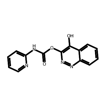 O=C(Nc1ccccn1)Oc1nnc2ccccc2c1O